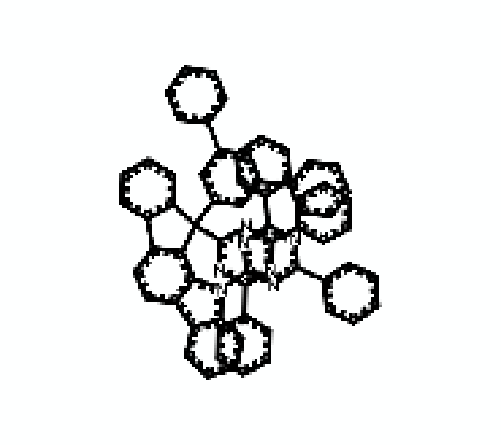 c1ccc(-c2cc(-c3ccccc3)cc(C3(c4nc(-c5ccccc5)nc(-c5ccccc5)n4)c4ccccc4-c4ccc5c6ccccc6n(-c6nc(-c7ccccc7)nc(-c7ccccc7)n6)c5c43)c2)cc1